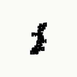 CCS(=O)(=O)c1ccc(CC(=O)Nc2nc3c(s2)CN(Cc2ccc(Cl)cc2)C3C(C)C)c(Cl)c1